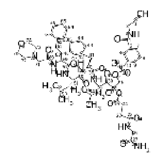 C#CCNC(=O)c1cccc(S(=O)(=O)OCC(C)(OC(=O)CCC(=O)NCC(N)=O)C(=O)[C@H](CC(C)C)NC(=O)[C@H](Cc2ccccc2)NC(=O)[C@H](CC(C)C)NC(=O)[C@H](CCc2ccccc2)NC(=O)CN2CCOCC2)c1